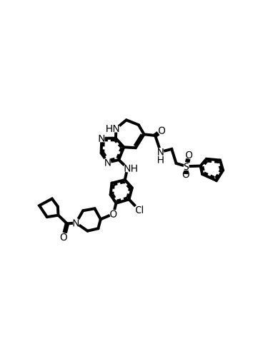 O=C(NCCS(=O)(=O)c1ccccc1)C1=Cc2c(ncnc2Nc2ccc(OC3CCN(C(=O)C4CCCC4)CC3)c(Cl)c2)NCC1